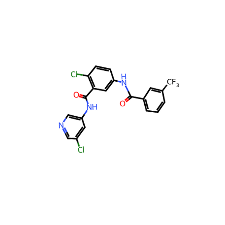 O=C(Nc1ccc(Cl)c(C(=O)Nc2cncc(Cl)c2)c1)c1cccc(C(F)(F)F)c1